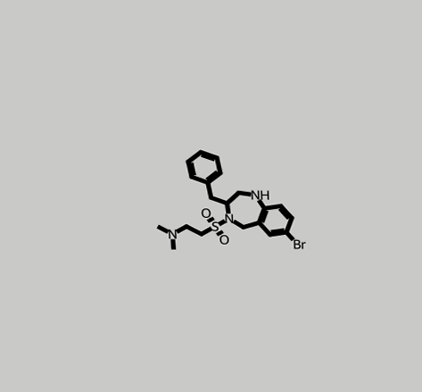 CN(C)CCS(=O)(=O)N1Cc2cc(Br)ccc2NCC1Cc1ccccc1